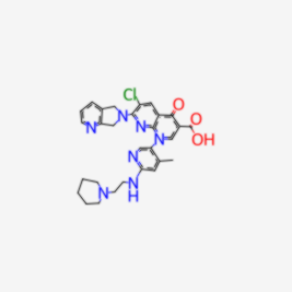 Cc1cc(NCCN2CCCCC2)ncc1-n1cc(C(=O)O)c(=O)c2cc(Cl)c(N3Cc4cccnc4C3)nc21